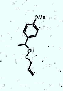 C=CCONC(C)c1ccc(OC)cc1